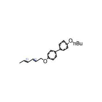 C/C=C/C=C/COc1ccc(-c2ccc(OCCCC)cc2)cc1